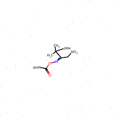 CNC(=O)ON=C(C[N+](=O)[O-])C(C)(C)SC